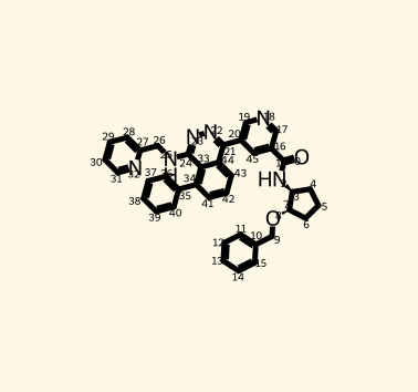 O=C(N[C@H]1CCC[C@@H]1OCc1ccccc1)c1cncc(-c2nnc(NCc3ccccn3)c3c(-c4ccccc4)cccc23)c1